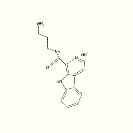 Cl.NCCCNC(=O)c1nccc2c1[nH]c1ccccc12